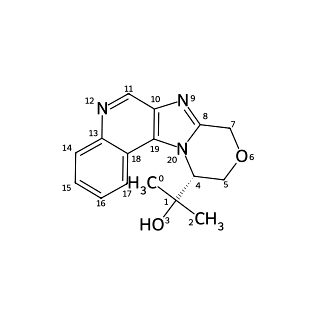 CC(C)(O)[C@H]1COCc2nc3cnc4ccccc4c3n21